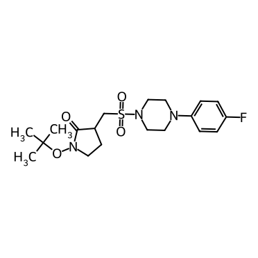 CC(C)(C)ON1CCC(CS(=O)(=O)N2CCN(c3ccc(F)cc3)CC2)C1=O